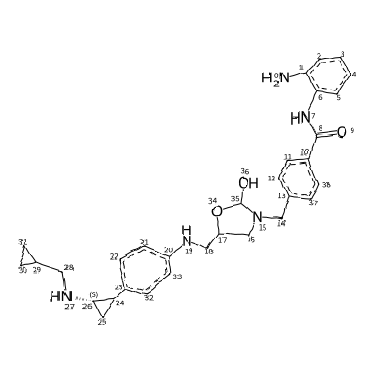 Nc1ccccc1NC(=O)c1ccc(CN2CC(CNc3ccc(C4C[C@@H]4NCC4CC4)cc3)OC2O)cc1